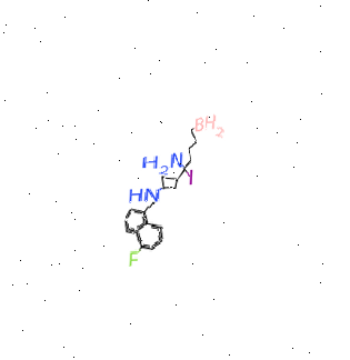 BCCCCC(N)(I)[C@H]1C[C@@H](NCc2cccc3c(F)cccc23)C1